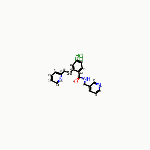 Cl.Cl.O=C(NCc1cccnc1)c1ccccc1[Se]Cc1ccccn1